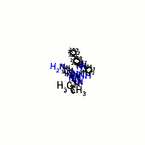 CC(C)c1cnn2c(NCc3ccccc3-n3cc4cc(-c5ccccc5)ccc4n3)nc(N3CCC(N)CC3)nc12